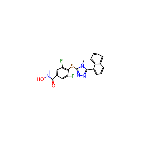 Cn1c(Sc2c(F)cc(C(=O)NO)cc2F)nnc1-c1cccc2ccccc12